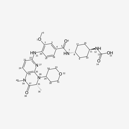 COc1cc(C(=O)N[C@H]2CC[C@H](NC(=O)O)CC2)ccc1Nc1ccc2c(n1)N(C1CCOCC1)[C@H](C)C(=O)N2C